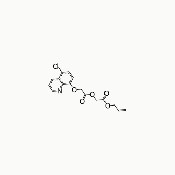 C=CCOC(=O)COC(=O)COc1ccc(Cl)c2cccnc12